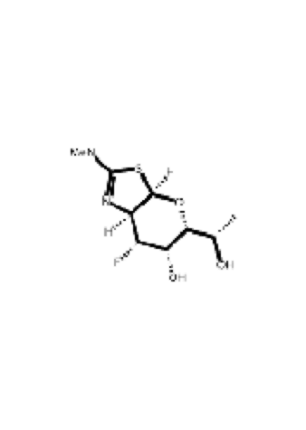 CNC1=N[C@@H]2[C@@H](F)[C@@H](O)[C@@H]([C@H](C)O)O[C@@H]2S1